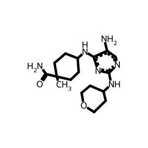 CC1(C(N)=O)CCC(Nc2nc(NC3CCOCC3)ncc2N)CC1